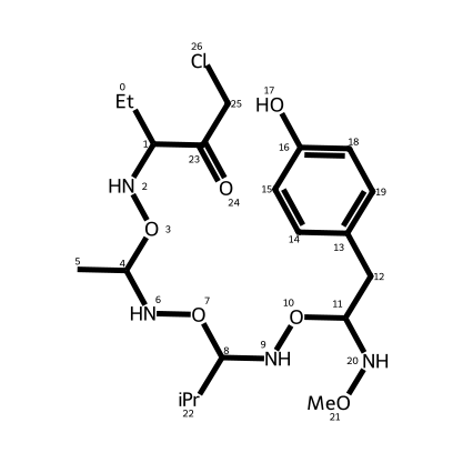 CCC(NOC(C)NOC(NOC(Cc1ccc(O)cc1)NOC)C(C)C)C(=O)CCl